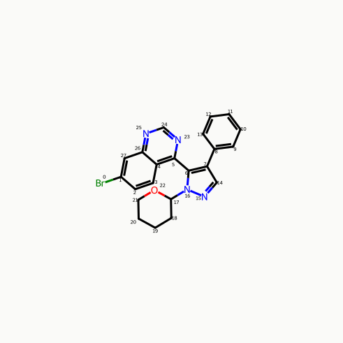 Brc1ccc2c(-c3c(-c4ccccc4)cnn3C3CCCCO3)ncnc2c1